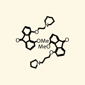 COc1cccc2c1-c1c(OCCCN3CCCC3)cccc1C2=O.COc1cccc2c1-c1c(OCCN3CCCCC3)cccc1C2=O